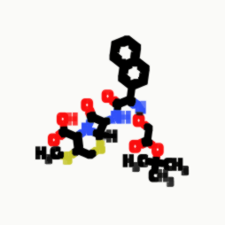 CSC1=C(C(=O)O)N2C(=O)C(NC(=O)C(=NOCC(=O)OC(C)(C)C)c3ccc4ccccc4c3)[C@@H]2SC1